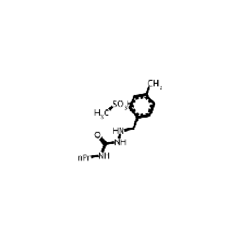 CCCNC(=O)NNCc1ccc(C)cc1.CS(=O)(=O)O